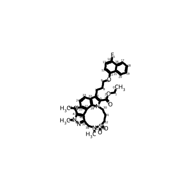 CCOC(=O)c1c(CCCOc2ccc(F)c3ccccc23)c2ccc(Cl)c3c2n1CCCS(=O)(=O)N(C)Cc1nn(C)c(CC)c1-3